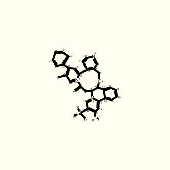 C=C1CC2C(CCc3cnccc3-c3cc(-c4ccccc4)c(C)c[n+]31)c1ccccc1-c1cc(C(C)C)c([Si](C)(C)C)c[n+]12